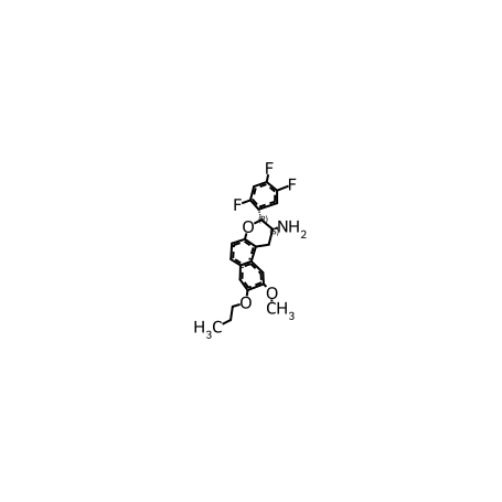 CCCOc1cc2ccc3c(c2cc1OC)C[C@H](N)[C@@H](c1cc(F)c(F)cc1F)O3